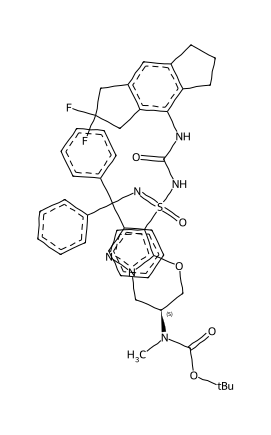 CN(C(=O)OC(C)(C)C)[C@@H]1COc2c(S(=O)(=NC(c3ccccc3)(c3ccccc3)c3ccccc3)NC(=O)Nc3c4c(cc5c3CC(F)(F)C5)CCC4)cnn2C1